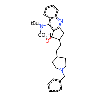 CC(C)(C)N(C(=O)O)c1c2c(nc3ccccc13)CC(CCC1CCN(Cc3ccccc3)CC1)C2=O